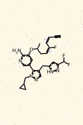 C#C/C=C\C(F)=C/CC(C)Oc1cc(-c2c(Cc3cc(C(F)F)n[nH]3)cnn2CC2CC2)cnc1N